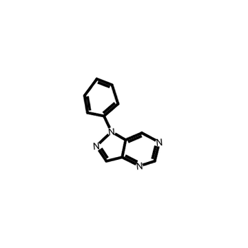 c1ccc(-n2ncc3ncncc32)cc1